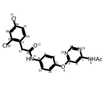 CC(=O)Nc1cc(Oc2ccc(NC(=O)Cc3ccc(Cl)cc3Cl)cc2)ncn1